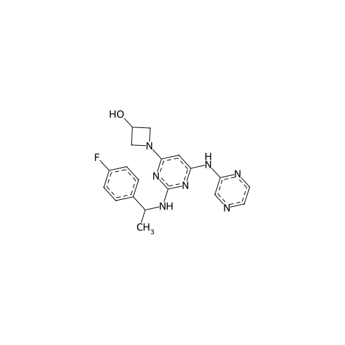 CC(Nc1nc(Nc2cnccn2)cc(N2CC(O)C2)n1)c1ccc(F)cc1